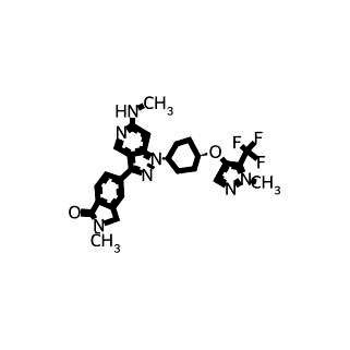 CNc1cc2c(cn1)c(-c1ccc3c(c1)CN(C)C3=O)nn2[C@H]1CC[C@@H](Oc2cnn(C)c2C(F)(F)F)CC1